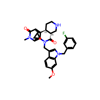 COc1ccc2c(CN(C(=O)[C@H]3CNCC[C@@H]3c3ccn(C)c(=O)c3)C3CC3)cn(Cc3cccc(F)c3)c2c1